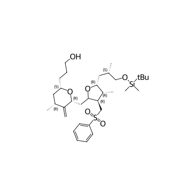 C=C1[C@H](C)C[C@H](CCCO)O[C@@H]1CC1O[C@H](C[C@H](C)CO[Si](C)(C)C(C)(C)C)[C@H](C)[C@H]1CS(=O)(=O)c1ccccc1